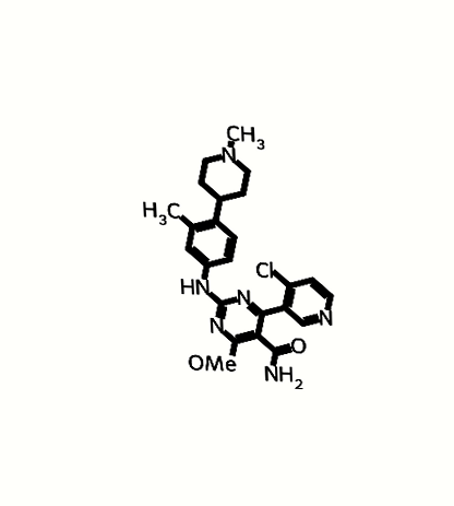 COc1nc(Nc2ccc(C3CCN(C)CC3)c(C)c2)nc(-c2cnccc2Cl)c1C(N)=O